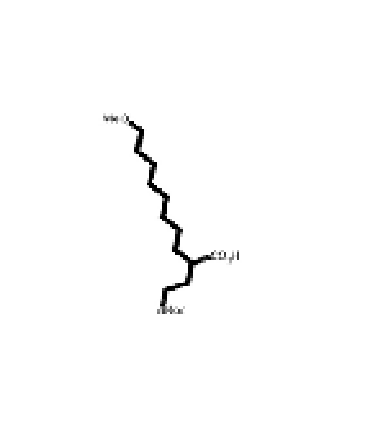 CCCCCCCCCCCC(CCCCCCCCOC)C(=O)O